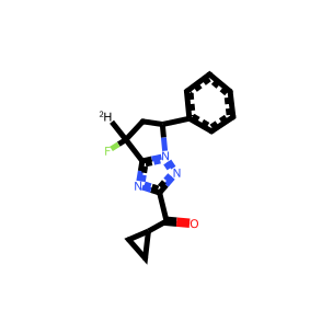 [2H]C1(F)CC(c2ccccc2)n2nc(C(=O)C3CC3)nc21